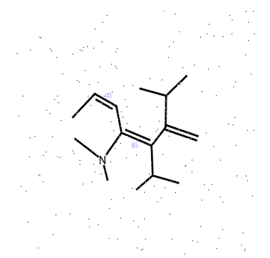 C=C(/C(=C(\C=C/C)N(C)C)C(C)C)C(C)C